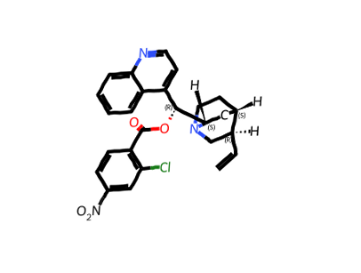 C=C[C@H]1CN2CC[C@H]1C[C@H]2[C@H](OC(=O)c1ccc([N+](=O)[O-])cc1Cl)c1ccnc2ccccc12